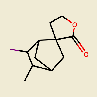 CC1C2CC(C1I)C1(CCOC1=O)C2